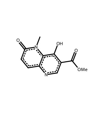 COC(=O)c1cnc2ccc(=O)n(C)c2c1O